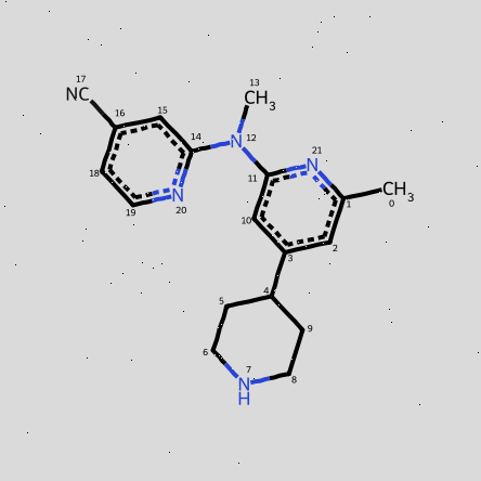 Cc1cc(C2CCNCC2)cc(N(C)c2cc(C#N)ccn2)n1